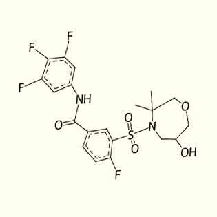 CC1(C)COCC(O)CN1S(=O)(=O)c1cc(C(=O)Nc2cc(F)c(F)c(F)c2)ccc1F